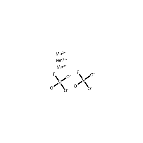 [Mn+2].[Mn+2].[Mn+2].[O-][Si]([O-])([O-])F.[O-][Si]([O-])([O-])F